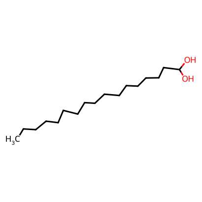 CCCCCCCCCCCCCCCCC(O)O